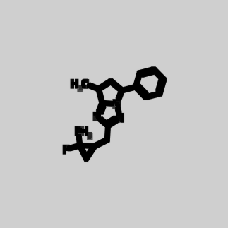 CC1CC(c2ccccc2)n2nc(CC3CC3(F)P)nc21